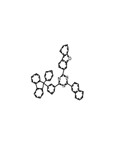 c1ccc(C2(c3cccc(-c4nc(-c5ccc6ccccc6c5)nc(-c5ccc6c(c5)oc5ccccc56)n4)c3)c3ccccc3-c3ccccc32)cc1